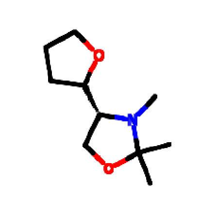 CN1[C@@H](C2CCCO2)COC1(C)C